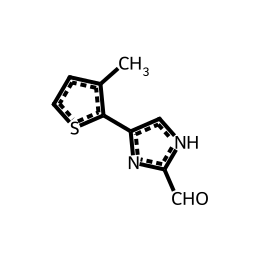 Cc1ccsc1-c1c[nH]c(C=O)n1